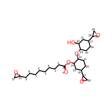 O=C(CCCCCCCCC1CO1)OC1CC(C2CO2)CCC1OC1CCC(C2CO2)CC1O